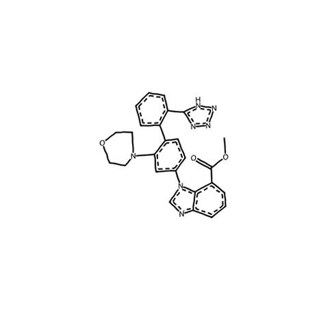 COC(=O)c1cccc2ncn(-c3ccc(-c4ccccc4-c4nnn[nH]4)c(N4CCOCC4)c3)c12